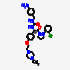 CN1CCN(CCOc2ccc([C@H](NC(=O)NCc3ccc(N)cc3)C(=O)N3CCCN3c3ccccc3Br)cc2)CC1